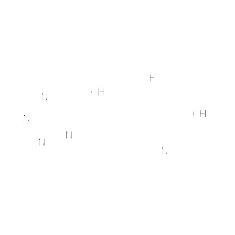 Cc1ncc(Cn2nnnc2C)cc1F